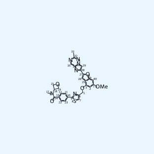 COc1cc(OCc2csc(-c3ccc(C(=O)N(C)C4COC4)cc3)n2)c2cc(-c3cn4nc(C)ncc4n3)oc2c1